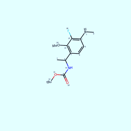 CBc1ccc(C(C)NC(=O)OC(C)(C)C)c(OC)c1F